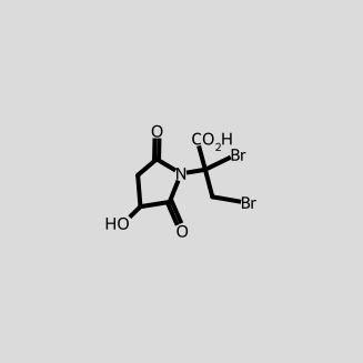 O=C1CC(O)C(=O)N1C(Br)(CBr)C(=O)O